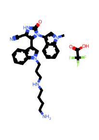 Cn1cc(-n2c(-c3cn(CCCNCCCCN)c4ccccc34)c(C#N)[nH]c2=O)c2ccccc21.O=C(O)C(F)(F)F